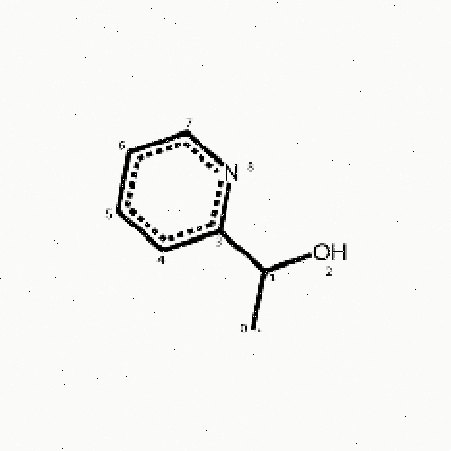 [CH2]C(O)c1ccccn1